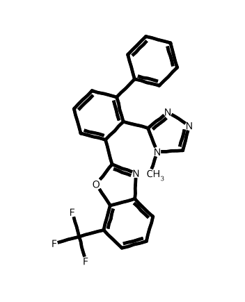 Cn1cnnc1-c1c(-c2ccccc2)cccc1-c1nc2cccc(C(F)(F)F)c2o1